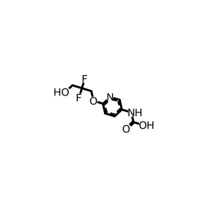 O=C(O)Nc1ccc(OCC(F)(F)CO)nc1